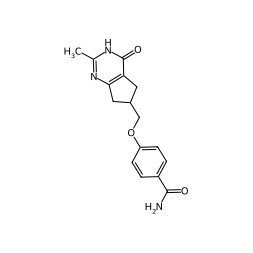 Cc1nc2c(c(=O)[nH]1)CC(COc1ccc(C(N)=O)cc1)C2